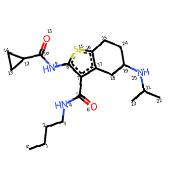 CCCCNC(=O)c1c(NC(=O)C2CC2)sc2c1CC(NC(C)C)CC2